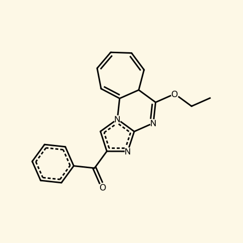 CCOC1=Nc2nc(C(=O)c3ccccc3)cn2C2=CC=CC=CC21